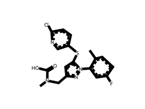 Cc1ccc(F)cc1-n1nc(CN(C)C(=O)O)cc1Sc1ccc(Cl)nc1